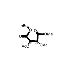 CCCCOC(=O)[C@H](OC(C)=O)[C@@H](OC(C)=O)C(=O)OC